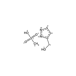 CS(=O)(=O)O.OCc1csnn1